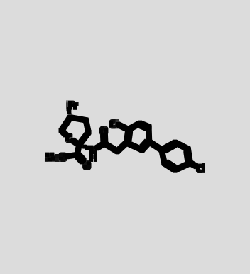 COC(=O)[C@]1(NC(=O)Cc2cc(-c3ccc(Cl)cc3)ccc2Cl)CC[C@@H](C(C)C)CC1